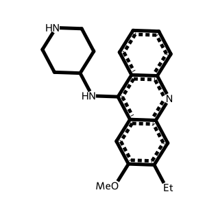 CCc1cc2nc3ccccc3c(NC3CCNCC3)c2cc1OC